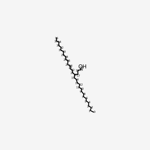 CCCCCCCCCCCCCCCCC(CCCO)CCCCCCCCCCCCCCCC